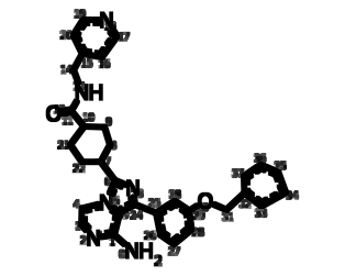 Nc1nccn2c(C3CCC(C(=O)NCc4ccncc4)CC3)nc(-c3cccc(OCc4ccccc4)c3)c12